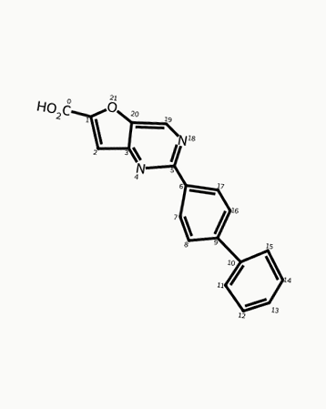 O=C(O)c1cc2nc(-c3ccc(-c4ccccc4)cc3)ncc2o1